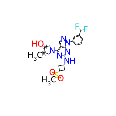 C[C@@H]1CN(c2nc(N[C@H]3C[C@H](S(C)(=O)=O)C3)nc3c2cnn3-c2cccc(C(F)F)c2)C[C@H]1O